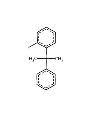 CC(C)(c1ccccc1)c1ccccc1I